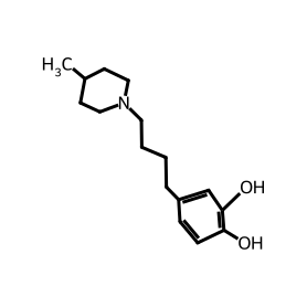 CC1CCN(CCCCc2ccc(O)c(O)c2)CC1